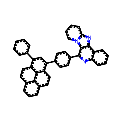 c1ccc(-c2cc(-c3ccc(-c4nc5ccccc5c5nc6ccccn6c45)cc3)c3ccc4cccc5ccc2c3c54)cc1